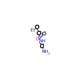 CCc1ccccc1-c1ccc2c(c1)C1(CCCC1)CN2C(=O)NCc1ccc(SN)cc1